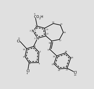 O=C(O)c1nn(-c2ccc(Cl)cc2Cl)c2c1CCCCC2=Cc1ccc(Cl)cc1